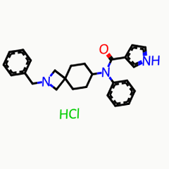 Cl.O=C(c1cc[nH]c1)N(c1ccccc1)C1CCC2(CC1)CN(Cc1ccccc1)C2